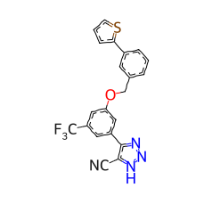 N#Cc1[nH]nnc1-c1cc(OCc2cccc(-c3cccs3)c2)cc(C(F)(F)F)c1